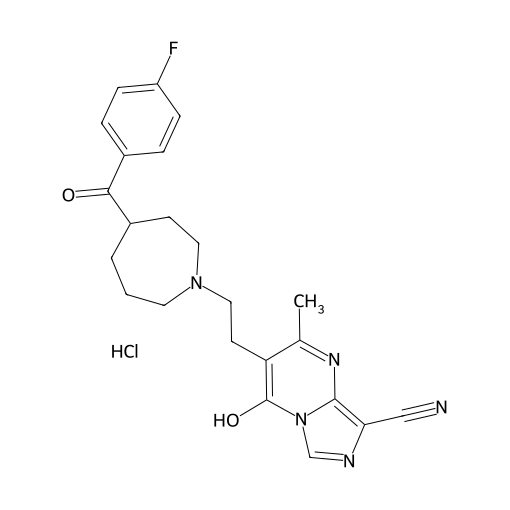 Cc1nc2c(C#N)ncn2c(O)c1CCN1CCCC(C(=O)c2ccc(F)cc2)CC1.Cl